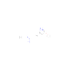 CNCC/C=C/c1cncc(OC)c1